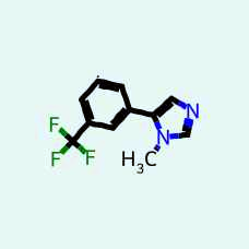 Cn1cncc1-c1c[c]cc(C(F)(F)F)c1